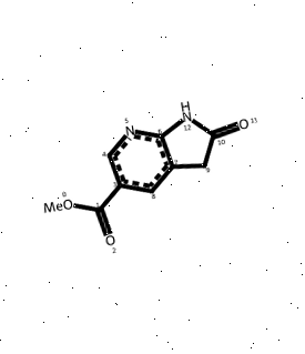 COC(=O)c1cnc2c(c1)CC(=O)N2